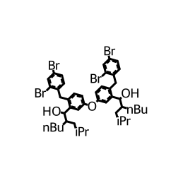 CCCCC(CC(C)C)C(O)c1cc(Oc2ccc(Cc3ccc(Br)cc3Br)c(C(O)C(CCCC)CC(C)C)c2)ccc1Cc1ccc(Br)cc1Br